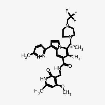 COc1cc(C)[nH]c(=O)c1CNC(=O)c1cc2c(-c3ccc(C)nn3)ccn2c([C@@H](C)N2CCN(CC(F)(F)F)CC2)c1C